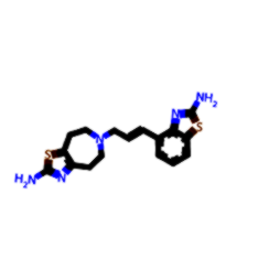 Nc1nc2c(s1)CCN(CC=Cc1cccc3sc(N)nc13)CC2